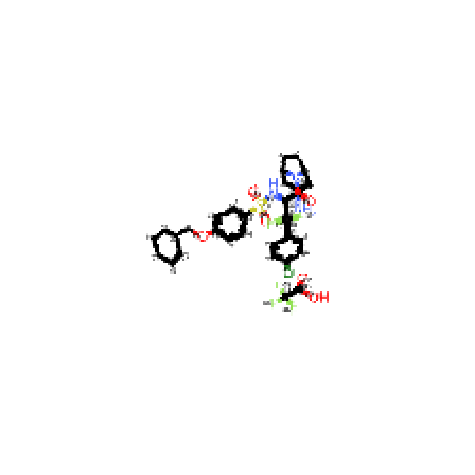 NC1CC2CCC(C1)N2C(=O)C(NS(=O)(=O)c1ccc(OCC2CCCCC2)cc1)C(F)(F)c1ccc(Cl)cc1.O=C(O)C(F)(F)F